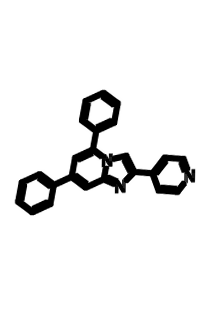 c1ccc(-c2cc(-c3ccccc3)n3cc(-c4ccncc4)nc3c2)cc1